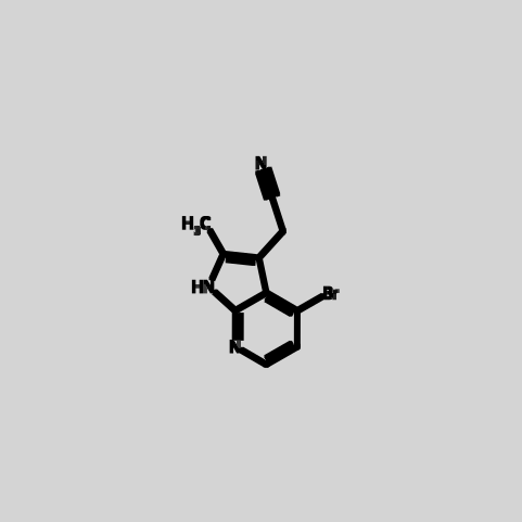 Cc1[nH]c2nccc(Br)c2c1CC#N